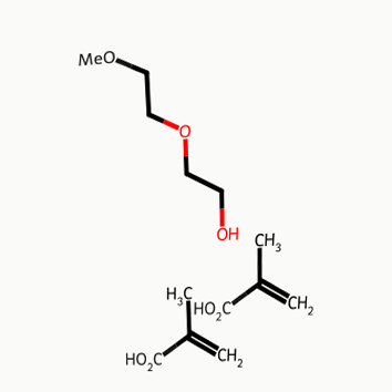 C=C(C)C(=O)O.C=C(C)C(=O)O.COCCOCCO